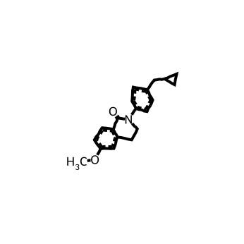 COc1ccc2c(c1)CCN(c1ccc(CC3CC3)cc1)C2=O